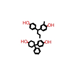 CCCC(c1ccc(O)cc1)c1ccc(O)c(C)c1.Oc1ccc(C2(c3ccccc3)CCC(O)CC2)cc1